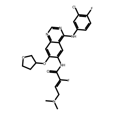 CN(C)C/C=C(\F)C(=O)Nc1cc2c(Nc3ccc(F)c(Cl)c3)ncnc2cc1OC1CCOC1